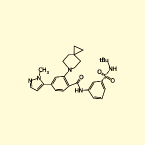 Cn1nccc1-c1ccc(C(=O)Nc2cccc(S(=O)(=O)NC(C)(C)C)c2)c(N2CCC3(CC2)CC3)c1